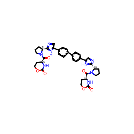 O=C1N[C@H](C(=O)N2CCC[C@H]2c2ncc(-c3ccc(-c4ccc(-c5cnc([C@@H]6CCCN6C(=O)[C@@H]6CCOC(=O)N6)[nH]5)cc4)cc3)[nH]2)CCO1